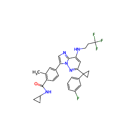 Cc1cc(-c2cnc3c(NCCC(F)(F)F)cc(C4(c5cccc(F)c5)CC4)nn23)ccc1C(=O)NC1CC1